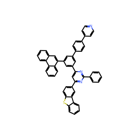 c1ccc(-c2nc(-c3cc(-c4ccc(-c5ccncc5)cc4)cc(-c4cc5ccccc5c5ccccc45)c3)cc(-c3ccc4sc5ccccc5c4c3)n2)cc1